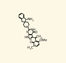 C=C(c1c(OC)ccn(C)c1=O)c1n[nH]c2nc(N3CCC4(CC3)Cc3ccccc3[C@H]4N)[nH]c(=O)c12